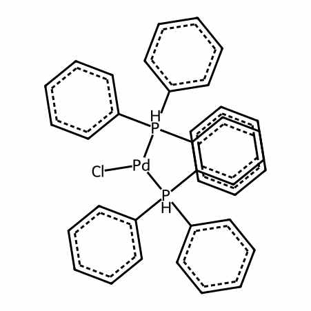 [Cl][Pd]([PH](c1ccccc1)(c1ccccc1)c1ccccc1)[PH](c1ccccc1)(c1ccccc1)c1ccccc1